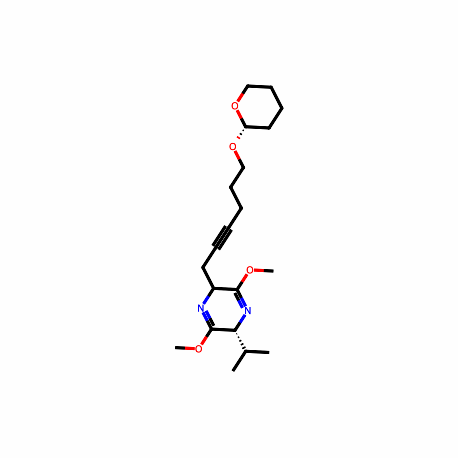 COC1=N[C@H](C(C)C)C(OC)=NC1CC#CCCCO[C@H]1CCCCO1